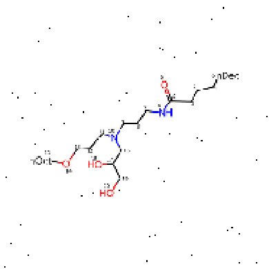 CCCCCCCCCCCCCC(=O)NCCCN(CCCOCCCCCCCC)CC(O)CO